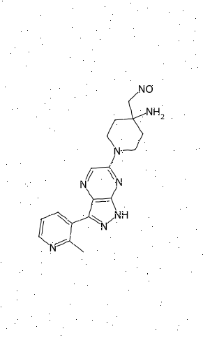 Cc1ncccc1-c1n[nH]c2nc(N3CCC(N)(CN=O)CC3)cnc12